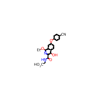 CCOc1nc(C(=O)NCC(=O)O)c(O)c2ccc(Oc3ccc(C#N)cc3)cc12